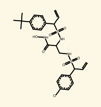 C=CC(c1ccc(Cl)cc1)S(=O)(=O)NCC(NS(=O)(=O)C(C=C)c1ccc(C(C)(C)C)cc1)C(=O)NO